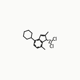 CC1=Cc2c(C3CCCCC3)ccc(C)c2[CH]1[Zr]([Cl])[Cl]